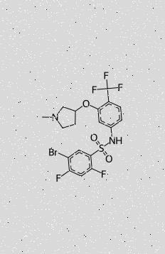 CN1CCC(Oc2cc(NS(=O)(=O)c3cc(Br)c(F)cc3F)ccc2C(F)(F)F)C1